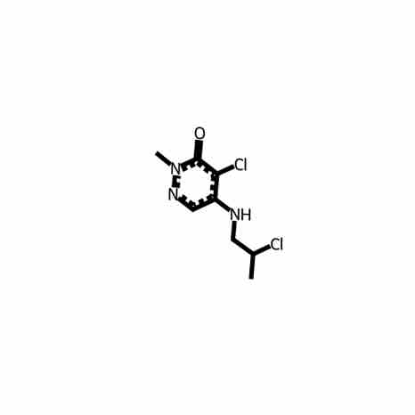 CC(Cl)CNc1cnn(C)c(=O)c1Cl